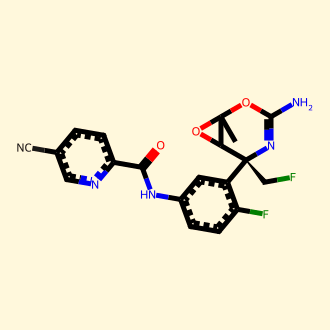 CC12OC(N)=N[C@](CF)(c3cc(NC(=O)c4ccc(C#N)cn4)ccc3F)C1O2